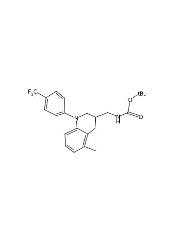 Cc1cccc2c1CC(CNC(=O)OC(C)(C)C)CN2c1ccc(C(F)(F)F)cc1